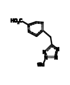 CC(C)(C)n1nnc(Cc2ccc(C(=O)O)cc2)n1